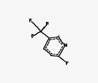 Fc1ccc(C(F)(F)F)[c]n1